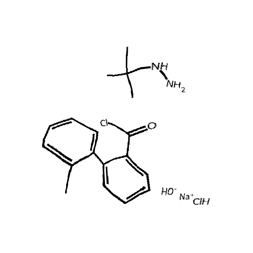 CC(C)(C)NN.Cc1ccccc1-c1ccccc1C(=O)Cl.Cl.[Na+].[OH-]